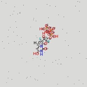 C[C@]1(F)[C@H](N2C=CC(O)NC2=O)O[C@](F)(COP(=O)(O)OP(=O)(O)OP(=O)(O)O)[C@H]1O